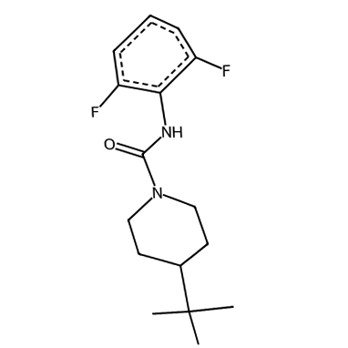 CC(C)(C)C1CCN(C(=O)Nc2c(F)cccc2F)CC1